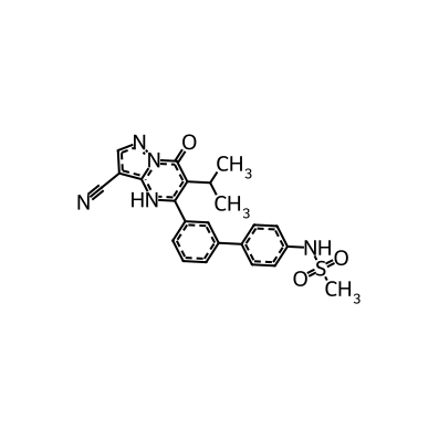 CC(C)c1c(-c2cccc(-c3ccc(NS(C)(=O)=O)cc3)c2)[nH]c2c(C#N)cnn2c1=O